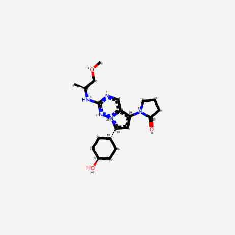 COC[C@H](C)Nc1ncc2c(N3CCCC3=O)cc([C@H]3CC[C@H](O)CC3)n2n1